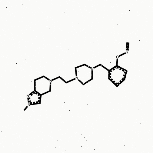 C=NOc1ccccc1CN1CCN(CCN2CCc3nn(C)cc3C2)CC1